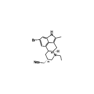 CCN1C[C@H](CC#N)CC2c3cc(Br)cc4[nH]c(C)c(c34)C[C@H]21